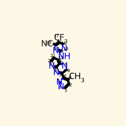 Cc1ccnnc1-c1cnc2c(Nc3ncc(C(F)(F)F)c(C#N)n3)ccnc2n1